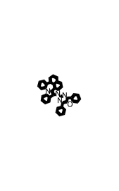 c1ccc(-c2nc(-n3c4ccc5cccc6c7ccccc7n7c8ccccc8c3c7c4c56)nc3c2oc2ccccc23)cc1